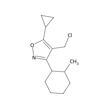 CC1CCCCC1c1noc(C2CC2)c1CCl